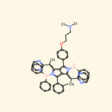 CCN(CC)CCCOc1ccc(-c2c3/c(=C(\C#N)c4ncccn4)n(B(c4ccccc4)c4ccccc4)c(-c4ccccc4C)c3/c(=C(\C#N)c3ncccn3)n2Bc2ccccc2)cc1